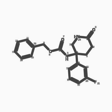 O=C1CCC(NC(=O)OCc2ccccc2)(c2cccc(F)c2)CN1